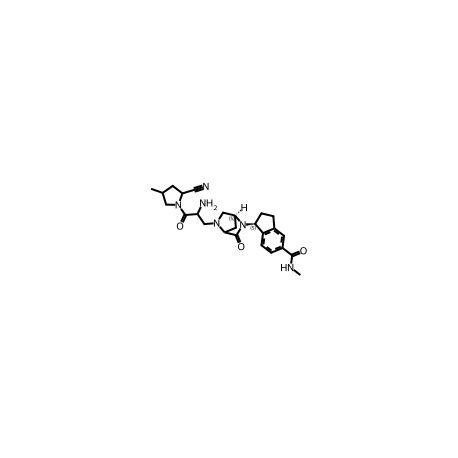 CNC(=O)c1ccc2c(c1)CC[C@@H]2N1C(=O)C2C[C@H]1CN2CC(N)C(=O)N1CC(C)CC1C#N